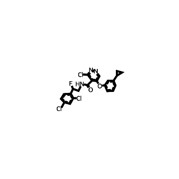 O=C(NCC(F)c1ccc(Cl)cc1Cl)c1c(Oc2cccc(C3CC3)c2)cnnc1Cl